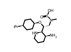 CC(C)[C@H]1CC[C@@H](O[C@H](CN(C)S(=O)O)[C@@H]2NCCC[C@@H]2N)CC1